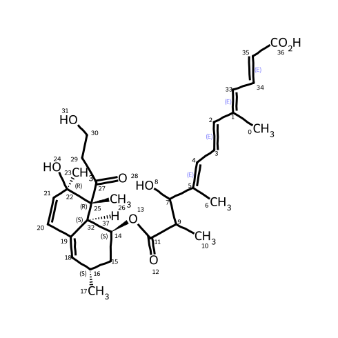 CC(/C=C/C=C(\C)C(O)C(C)C(=O)O[C@H]1C[C@H](C)C=C2C=C[C@@](C)(O)[C@](C)(C(=O)CCO)[C@H]21)=C\C=C\C(=O)O